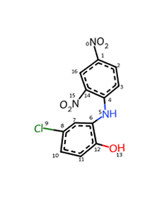 O=[N+]([O-])c1ccc(Nc2cc(Cl)ccc2O)c([N+](=O)[O-])c1